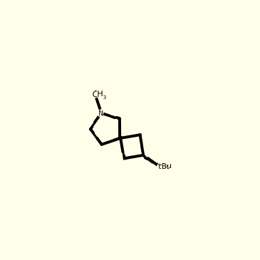 CN1CCC2(CC(C(C)(C)C)C2)C1